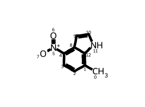 Cc1ccc([N+](=O)[O-])c2cc[nH]c12